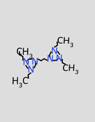 CCCCN1CCN(CCCC)CCN(CCCCN2CCN(CCCC)CCN(CCCC)CC2)CC1